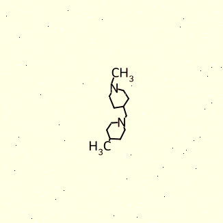 CCN1CCC(CN2CCC(C)CC2)CC1